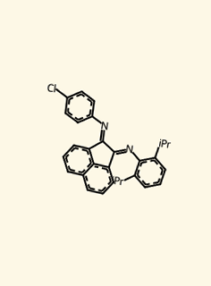 CC(C)c1cccc(C(C)C)c1/N=C1/C(=N/c2ccc(Cl)cc2)c2cccc3cccc1c23